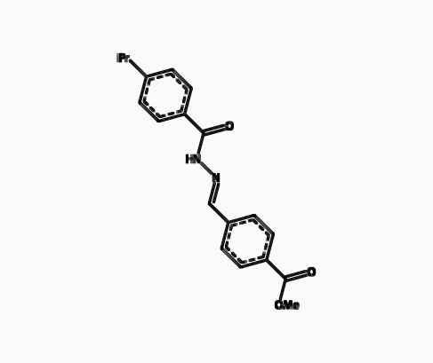 COC(=O)c1ccc(C=NNC(=O)c2ccc(C(C)C)cc2)cc1